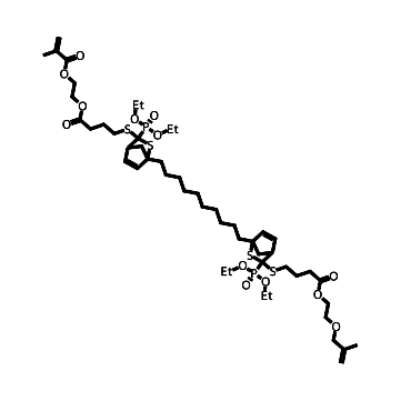 C=C(C)COCCOC(=O)CCCSC1(P(=O)(OCC)OCC)SC2(CCCCCCCCCCC34C=CC(C3)C(SCCCC(=O)OCCOC(=O)C(=C)C)(P(=O)(OCC)OCC)S4)C=CC1C2